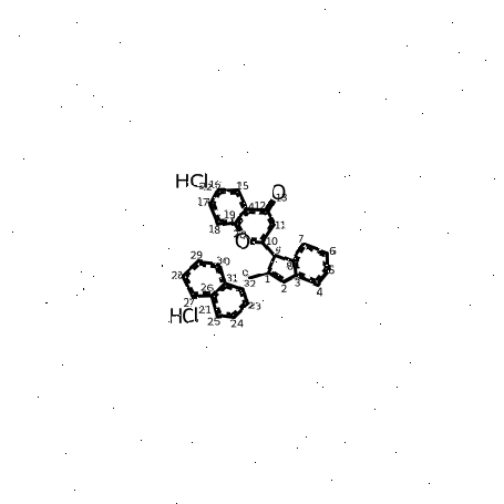 CC1=Cc2ccccc2C1c1cc(=O)c2ccccc2o1.Cl.Cl.c1ccc2ccccc2c1